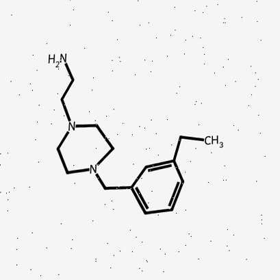 CCc1cccc(CN2CCN(CCN)CC2)c1